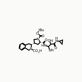 CCCC(NC(=O)[C@@H]1CC([C@H]2Cc3ccccc3CN2C(=O)O)CN1C(=O)OC(C)(C)C)C(O)C(=O)NC1CC1